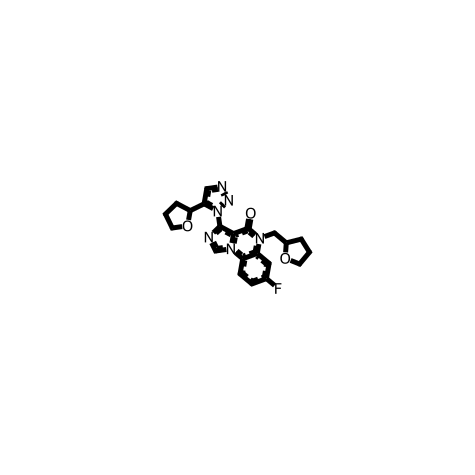 O=c1c2c(-n3nncc3C3CCCO3)ncn2c2ccc(F)cc2n1CC1CCCO1